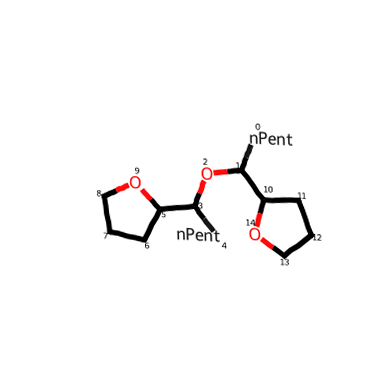 CCCCCC(OC(CCCCC)C1CCCO1)C1CCCO1